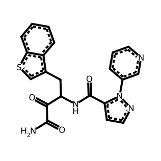 NC(=O)C(=O)C(Cc1csc2ccccc12)NC(=O)c1ccnn1-c1cccnc1